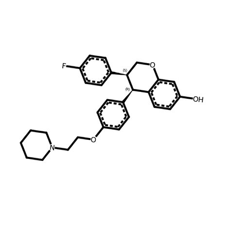 Oc1ccc2c(c1)OC[C@H](c1ccc(F)cc1)[C@@H]2c1ccc(OCCN2CCCCC2)cc1